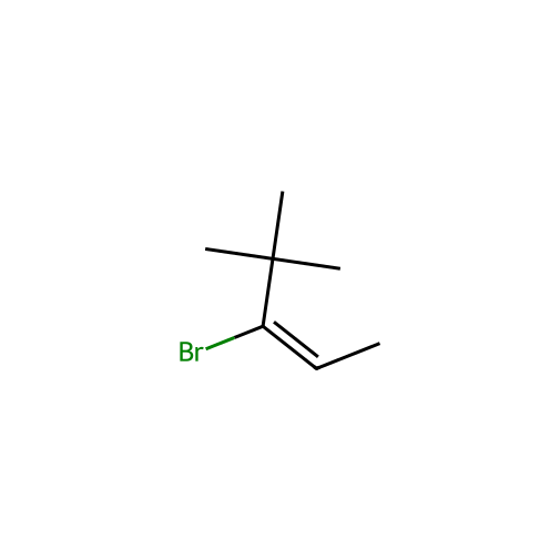 C/C=C(/Br)C(C)(C)C